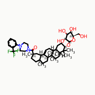 CC1(C)[C@@H](O[C@@H]2O[C@H](CO)[C@@H](O)[C@H](O)[C@H]2O)CC[C@]2(C)[C@H]3CC=C4[C@@H]5C[C@@](C)(C(=O)N6CCN(c7ccccc7C(F)(F)F)CC6)CC[C@]5(C)CC[C@@]4(C)[C@]3(C)CC[C@@H]12